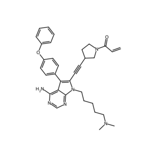 C=CC(=O)N1CCC(C#Cc2c(-c3ccc(Oc4ccccc4)cc3)c3c(N)ncnc3n2CCCCCN(C)C)C1